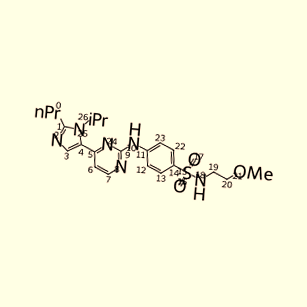 CCCc1ncc(-c2ccnc(Nc3ccc(S(=O)(=O)NCCOC)cc3)n2)n1C(C)C